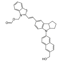 O=COC[n+]1c(/C=C/c2ccc3c(c2)C2CCCC2N3c2ccc3cc(CO)ccc3c2)sc2ccccc21